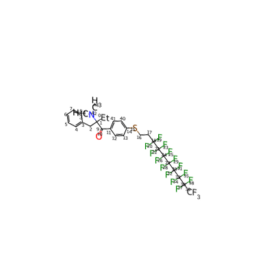 CCC(Cc1ccccc1)(C(=O)c1ccc(SCCC(F)(F)C(F)(F)C(F)(F)C(F)(F)C(F)(F)C(F)(F)C(F)(F)C(F)(F)F)cc1)N(C)C